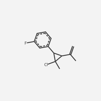 C=C(C)C1C(c2cccc(F)c2)C1(C)Cl